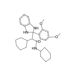 COc1ccc(C2(C(C(=O)NC3CCCCC3)C3CCCCC3)Nc3ccccc3N2)c(OC)c1